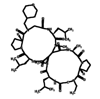 CCN1CC(=O)N[C@@H](CC(C)C)C(=O)N(C)[C@@H]2C(=O)N[C@@H](CC(C)C)C(=O)N3CCC[C@@H]3C(=O)N(CC3CCOCC3)CC(=O)N[C@@H](CC(C)C)C(=O)N(C)C2C(=O)N[C@@H](C)C(=O)N2CCC[C@@H]2C1=O